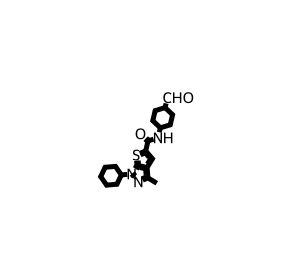 Cc1nn(C2CCCCC2)c2sc(C(=O)NC3CCC(C=O)CC3)cc12